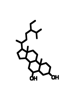 CCC(CCC(C)C1CCC2C3CC(O)C4CC(O)CCC4(C)C3CCC12C)C(C)C